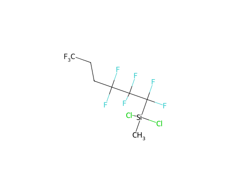 C[Si](Cl)(Cl)C(F)(F)C(F)(F)C(F)(F)CCC(F)(F)F